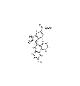 COC(=O)c1ccc2c(c1)NC(=O)/C2=C(\Nc1ccc(C#N)cc1)c1ccccc1